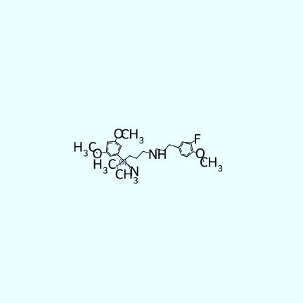 COc1cc(OC)cc([C@](C#N)(CCCNCCCc2ccc(OC)c(F)c2)C(C)C)c1